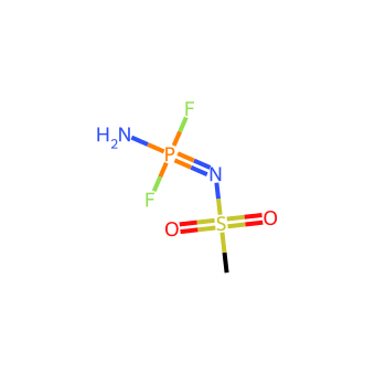 CS(=O)(=O)N=P(N)(F)F